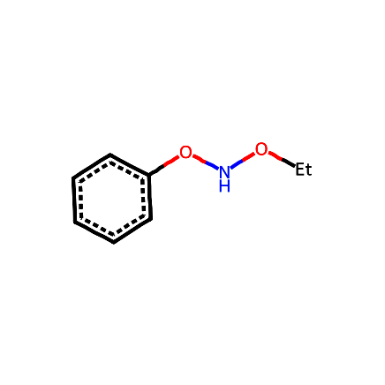 CCONOc1ccccc1